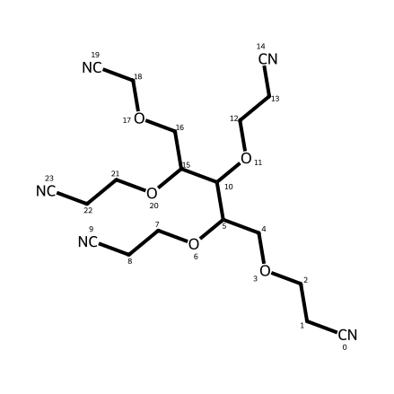 N#CCCOCC(OCCC#N)C(OCCC#N)C(COCC#N)OCCC#N